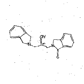 O=C1c2ccccc2CN1C[C@H](O)CN1Cc2ccccc2C1